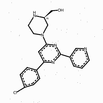 OC[C@H]1CN(c2cc(-c3ccc(Cl)cc3)nc(-c3cccnc3)n2)CCN1